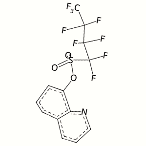 O=S(=O)(Oc1cccc2cccnc12)C(F)(F)C(F)(F)C(F)(F)C(F)(F)F